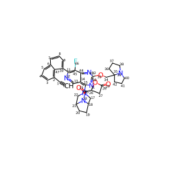 C#Cc1cccc2cccc(-c3ncc4c(N5CC6CCC(C5)N6C(=O)C5CC(=O)O5)nc(OCC56CCCN5CCC6)nc4c3F)c12